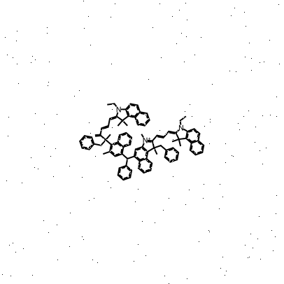 C=C(/C=C/C=C1/N(CC)c2ccc3ccccc3c2C1(C)C)C(C)(Cc1ccccc1)c1c(C)cc(C(c2ccccc2)c2cc3c(c4ccccc24)C(C)(Cc2ccccc2)C(/C=C/C=C2/N(CC)c4ccc5ccccc5c4C2(C)C)=[N+]3C)c2ccccc12